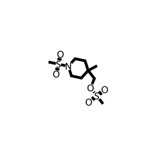 CC1(COS(C)(=O)=O)CCN(S(C)(=O)=O)CC1